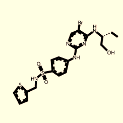 CC[C@H](CO)Nc1nc(Nc2ccc(S(=O)(=O)NCc3cccs3)cc2)ncc1Br